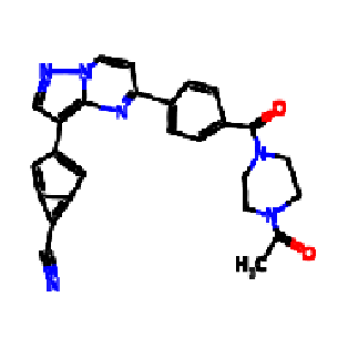 CC(=O)N1CCN(C(=O)c2ccc(-c3ccn4ncc(-c5cc6c(C#N)c-6c5)c4n3)cc2)CC1